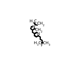 C=C/C(=C\C)N1CCC(Cc2ccc(CCCC(C)(C)F)nc2)C1=C